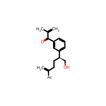 C=C(C)C(=O)c1cccc([C@@H](CO)CCC(=C)C(C)=O)c1